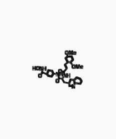 COc1ccc(OC)c(/C=C/C(=O)NC(Cc2cnc3ccccc3c2)C(=O)Nc2ccc(C(=O)NO)cc2)c1